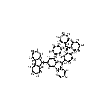 C1=CN2c3cc(-n4c5ccccc5c5cccnc54)ccc3N(c3cccc([Si](c4ccccc4)(c4ccccc4)c4ccccc4)c3)N2C=C1